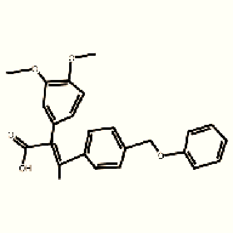 COc1ccc(/C(C(=O)O)=C(/C)c2ccc(COc3ccccc3)cc2)cc1OC